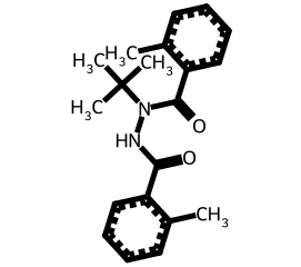 Cc1ccccc1C(=O)NN(C(=O)c1ccccc1C)C(C)(C)C